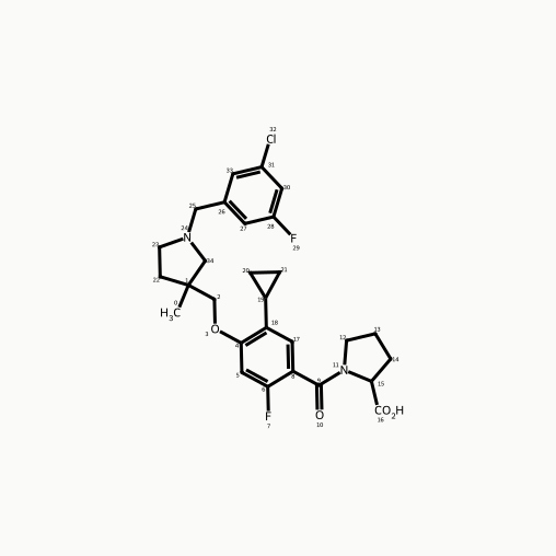 CC1(COc2cc(F)c(C(=O)N3CCCC3C(=O)O)cc2C2CC2)CCN(Cc2cc(F)cc(Cl)c2)C1